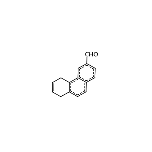 O=Cc1ccc2ccc3c(c2c1)CC=CC3